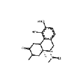 CCN(C)[C@H]1Cc2ccc(OC)c(O)c2C2CC(=O)C(C)C[C@@H]21